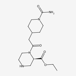 CCOC(=O)[C@H]1CNCCN1C(=O)CC1CCN(C(N)=O)CC1